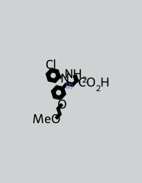 C=C(/C=C(/c1cccc(OCCOC)c1)N(N)c1cccc(Cl)c1)C(=O)O